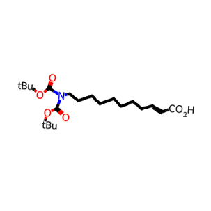 CC(C)(C)OC(=O)N(CCCCCCCC/C=C/C(=O)O)C(=O)OC(C)(C)C